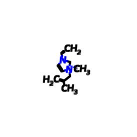 C=CN1C=C[N+](C)(CC(=C)C)C1